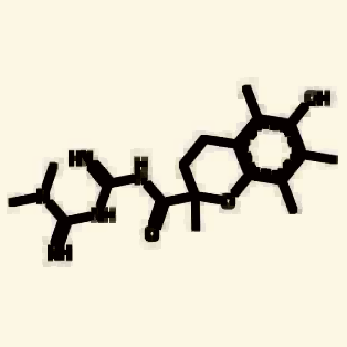 Cc1c(C)c2c(c(C)c1O)CCC(C)(C(=O)NC(=N)NC(=N)N(C)C)O2